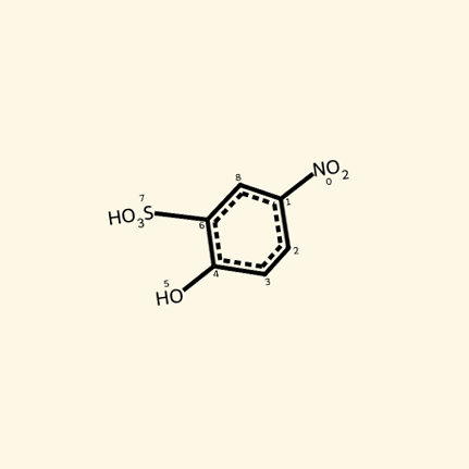 O=[N+]([O-])c1ccc(O)c(S(=O)(=O)O)c1